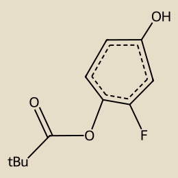 CC(C)(C)C(=O)Oc1ccc(O)cc1F